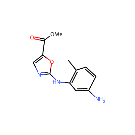 COC(=O)c1cnc(Nc2cc(N)ccc2C)o1